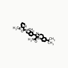 COc1cccnc1C(=O)NCc1ccc(-c2nn3c(c2C(N)=O)Nc2ccc(C(C)C)cc2CC3)cc1C